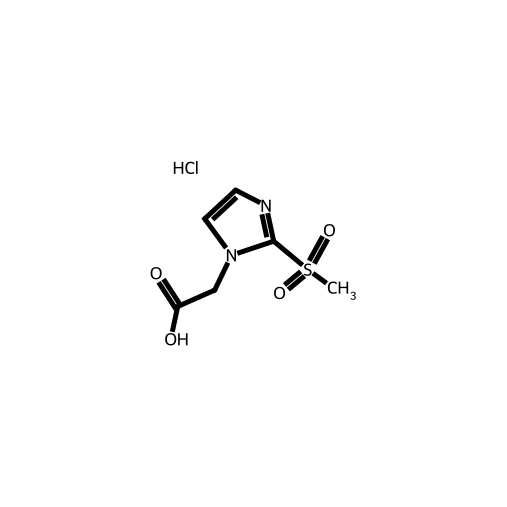 CS(=O)(=O)c1nccn1CC(=O)O.Cl